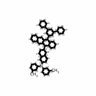 Cc1cccc(N(c2cccc(C)c2)c2ccc3cc(-c4c5ccccc5c(-c5cc(-c6ccccc6)cc(-c6ccccc6)c5)c5cc6ccccc6cc45)ccc3c2)c1